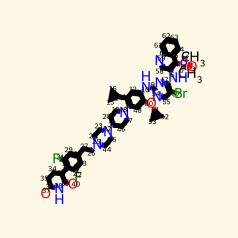 CP(C)(=O)c1c(Nc2nc(Nc3cc(C4CC4)c(N4CCC(N5CCN(CCc6cc(F)c(C7CCC(=O)NC7=O)c(F)c6)CC5)CC4)cc3OC3CC3)ncc2Br)cnc2ccccc12